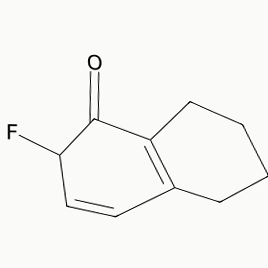 O=C1C2=C(C=CC1F)CCCC2